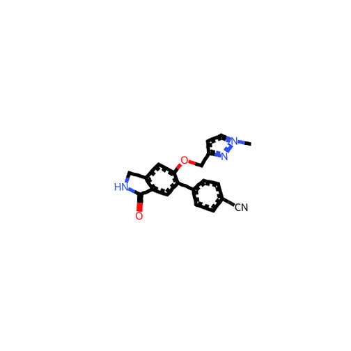 Cn1ccc(COc2cc3c(cc2-c2ccc(C#N)cc2)C(=O)NC3)n1